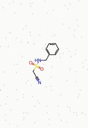 N#CCS(=O)(=O)NCc1ccccc1